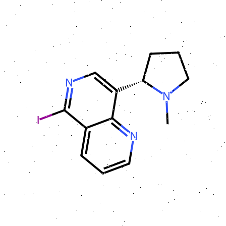 CN1CCC[C@H]1c1cnc(I)c2cccnc12